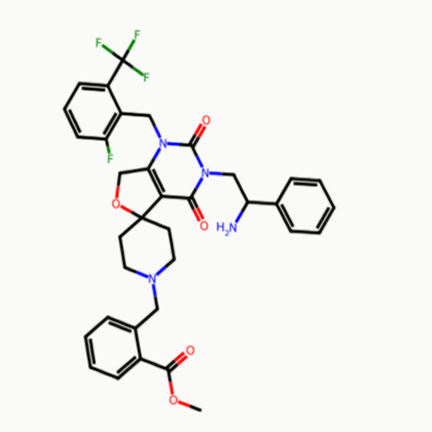 COC(=O)c1ccccc1CN1CCC2(CC1)OCc1c2c(=O)n(CC(N)c2ccccc2)c(=O)n1Cc1c(F)cccc1C(F)(F)F